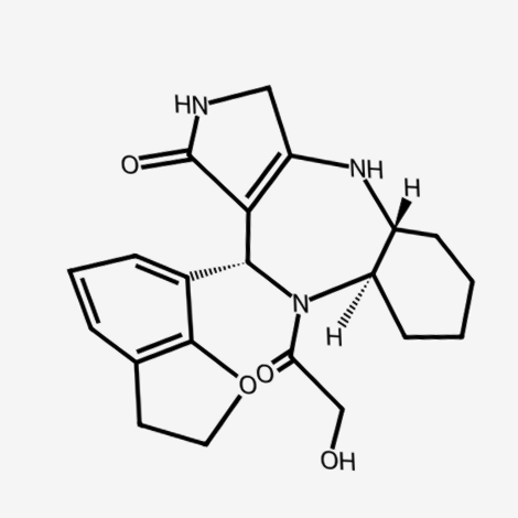 O=C1NCC2=C1[C@@H](c1cccc3c1OCC3)N(C(=O)CO)[C@@H]1CCCC[C@H]1N2